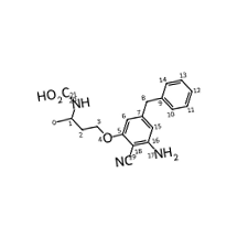 CC(CCOc1cc(Cc2ccccc2)cc(N)c1C#N)NC(=O)O